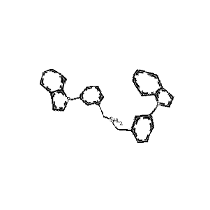 c1cc(C[SiH2]Cc2cccc(-p3ccc4ccccc43)c2)cc(-p2ccc3ccccc32)c1